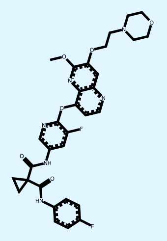 COc1nc2c(Oc3ncc(NC(=O)C4(C(=O)Nc5ccc(F)cc5)CC4)cc3F)ccnc2cc1OCCN1CCOCC1